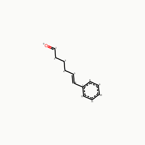 O=CCCC/C=C/c1ccccc1